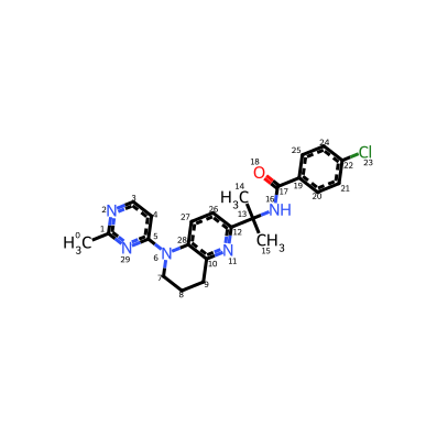 Cc1nccc(N2CCCc3nc(C(C)(C)NC(=O)c4ccc(Cl)cc4)ccc32)n1